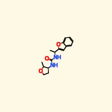 CC(NC(=O)NC1CCOC1C)c1cc2ccccc2o1